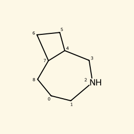 C1CNCC2CCC2C1